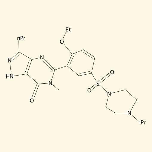 CCCc1n[nH]c2c(=O)n(C)c(-c3cc(S(=O)(=O)N4CCN(C(C)C)CC4)ccc3OCC)nc12